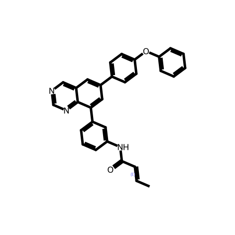 C/C=C/C(=O)Nc1cccc(-c2cc(-c3ccc(Oc4ccccc4)cc3)cc3cncnc23)c1